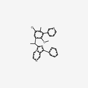 COc1c(C(C)c2nc(-c3ccccc3)c3cnccn23)cc(Cl)c(C)c1-c1cccnc1